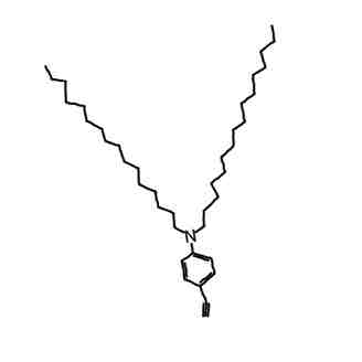 C#Cc1ccc(N(CCCCCCCCCCCCCCCC)CCCCCCCCCCCCCCCC)cc1